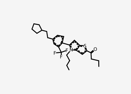 CCCCn1c(-c2ccc(CCC3CCCC3)cc2C(F)(F)F)cc2sc(C(=O)CCC)cc21